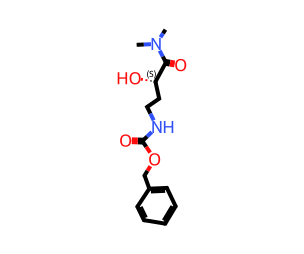 CN(C)C(=O)[C@@H](O)CCNC(=O)OCc1ccccc1